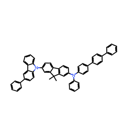 CC1(C)c2cc(N(c3ccccc3)c3ccc(-c4ccc(-c5ccccc5)cc4)cc3)ccc2-c2ccc(-n3c4ccccc4c4cc(-c5ccccc5)ccc43)cc21